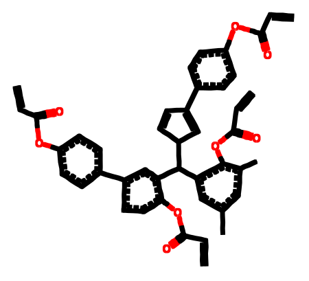 C=CC(=O)Oc1ccc(C2=CC(C(c3cc(-c4ccc(OC(=O)C=C)cc4)ccc3OC(=O)C=C)c3cc(C)cc(C)c3OC(=O)C=C)C=C2)cc1